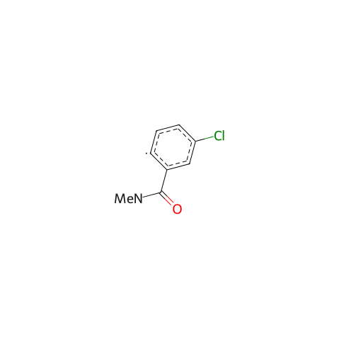 CNC(=O)c1[c]ccc(Cl)c1